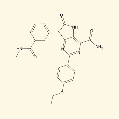 CCOc1ccc(-c2nc(C(N)=O)c3[nH]c(=O)n(-c4cccc(C(=O)NC)c4)c3n2)cc1